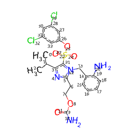 CC(C)c1nc(CCOC(N)=O)n(Cc2ccccc2N)c1S(=O)(=O)Oc1cc(Cl)cc(Cl)c1